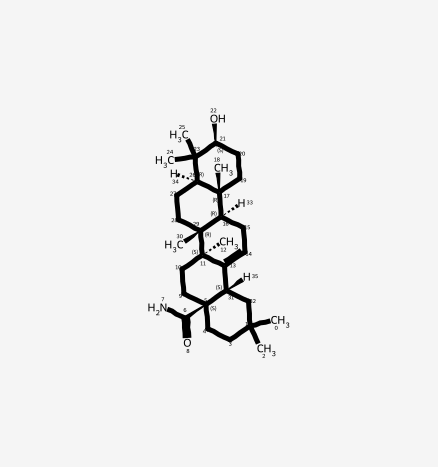 CC1(C)CC[C@]2(C(N)=O)CC[C@]3(C)C(=CC[C@@H]4[C@@]5(C)CC[C@H](O)C(C)(C)[C@@H]5CC[C@]43C)[C@@H]2C1